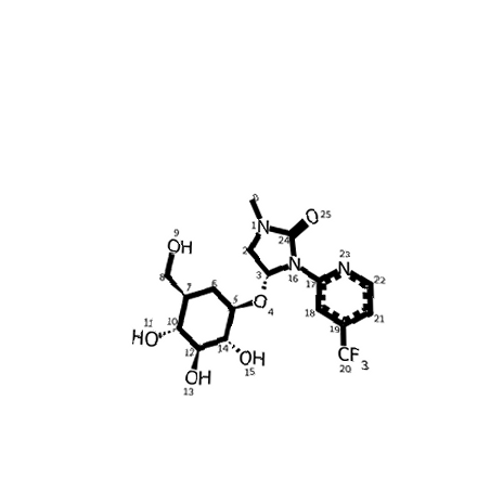 CN1C[C@@H](O[C@@H]2C[C@H](CO)[C@@H](O)[C@H](O)[C@H]2O)N(c2cc(C(F)(F)F)ccn2)C1=O